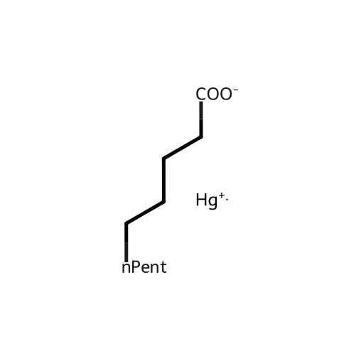 CCCCCCCCCC(=O)[O-].[Hg+]